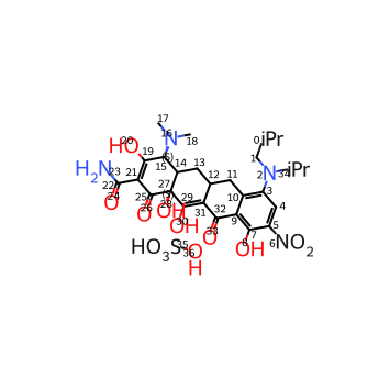 CC(C)CN(c1cc([N+](=O)[O-])c(O)c2c1CC1CC3[C@H](N(C)C)C(O)=C(C(N)=O)C(=O)[C@@]3(O)C(O)=C1C2=O)C(C)C.O=S(=O)(O)O